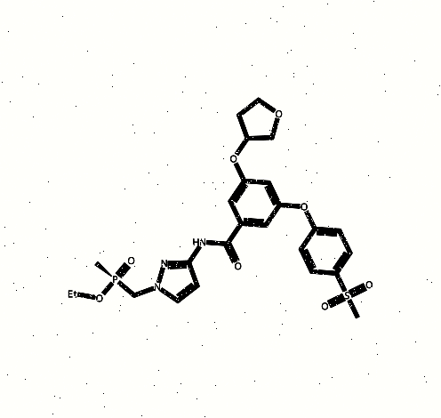 CCO[P@](C)(=O)Cn1ccc(NC(=O)c2cc(Oc3ccc(S(C)(=O)=O)cc3)cc(OC3CCOC3)c2)n1